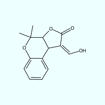 CC1(C)Oc2ccccc2C2C(=CO)C(=O)OC21